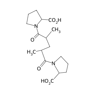 CC(CC(C)C(=O)N1CCCC1C(=O)O)C(=O)N1CCCC1C(=O)O